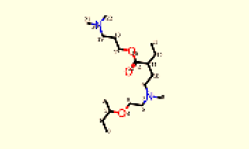 CCC(C)OCCN(C)CCC(CC)C(=O)OCCCN(C)C